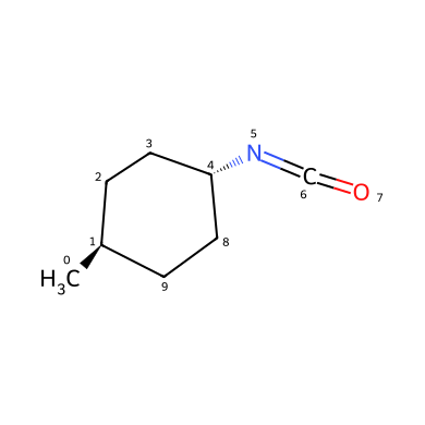 C[C@H]1CC[C@H](N=C=O)CC1